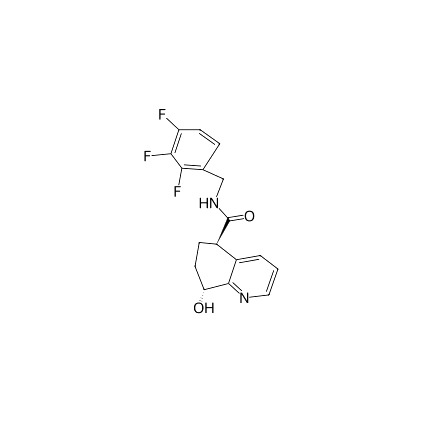 O=C(NCc1ccc(F)c(F)c1F)[C@@H]1CC[C@@H](O)c2ncccc21